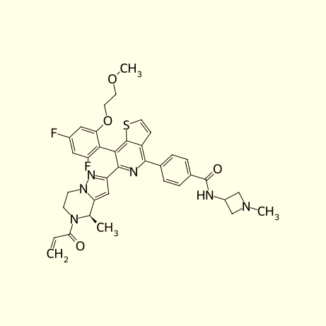 C=CC(=O)N1CCn2nc(-c3nc(-c4ccc(C(=O)NC5CN(C)C5)cc4)c4ccsc4c3-c3c(F)cc(F)cc3OCCOC)cc2[C@H]1C